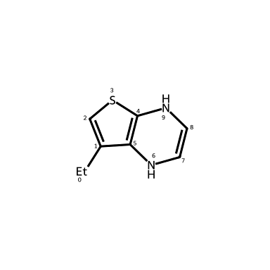 CCc1csc2c1NC=CN2